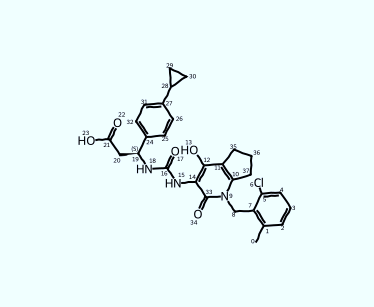 Cc1cccc(Cl)c1Cn1c2c(c(O)c(NC(=O)N[C@@H](CC(=O)O)c3ccc(C4CC4)cc3)c1=O)CCC2